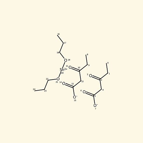 CCC(=O)CC(=O)[O-].CCC(=O)CC(=O)[O-].CCC[O][Sn+2][O]CCC